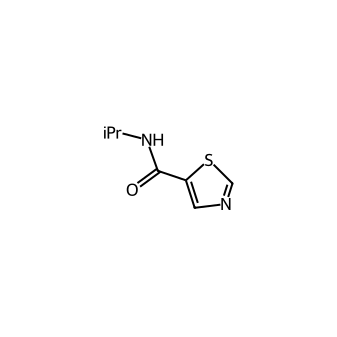 CC(C)NC(=O)c1cncs1